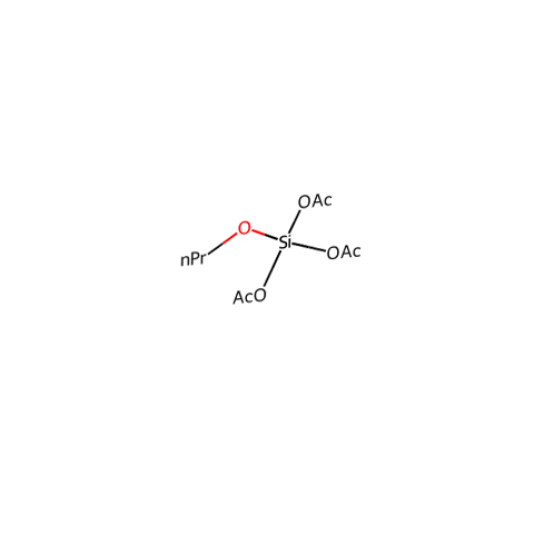 CCCO[Si](OC(C)=O)(OC(C)=O)OC(C)=O